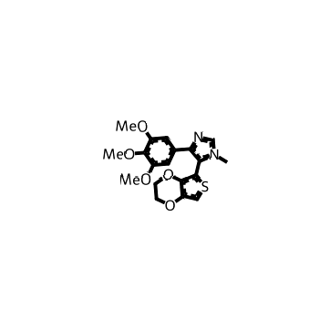 COc1cc(-c2ncn(C)c2-c2scc3c2OCCO3)cc(OC)c1OC